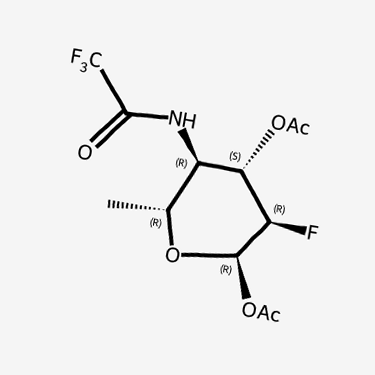 CC(=O)O[C@H]1O[C@H](C)[C@@H](NC(=O)C(F)(F)F)[C@H](OC(C)=O)[C@H]1F